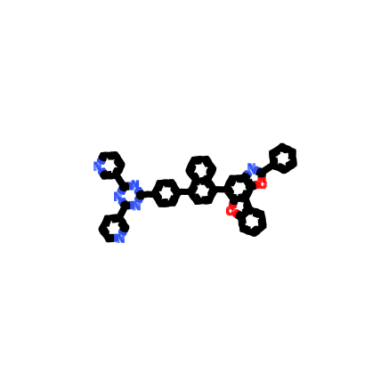 c1ccc(-c2nc3cc(-c4ccc(-c5ccc(-c6nc(-c7cccnc7)nc(-c7cccnc7)n6)cc5)c5ccccc45)c4oc5ccccc5c4c3o2)cc1